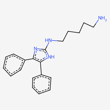 NCCCCCNc1nc(-c2ccccc2)c(-c2ccccc2)[nH]1